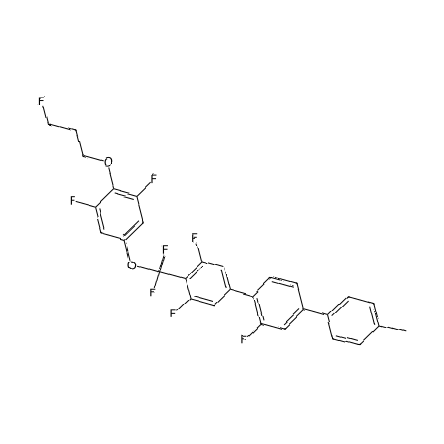 Cc1ccc(-c2ccc(-c3cc(F)c(C(F)(F)Oc4cc(F)c(OCCCF)c(F)c4)c(F)c3)c(F)c2)cc1